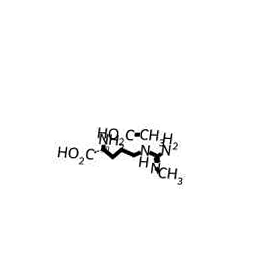 CC(=O)O.CN=C(N)NCCC[C@@H](N)C(=O)O